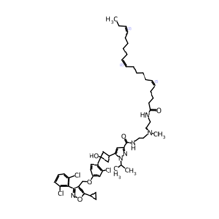 CC/C=C\CCCC/C=C\CCCC/C=C\CCCC(=O)NCCN(C)CCNC(=O)c1cc(C2CC(O)(c3ccc(OCc4c(-c5c(Cl)cccc5Cl)noc4C4CC4)cc3Cl)C2)n(C(C)C)n1